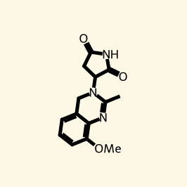 COc1cccc2c1N=C(C)N(C1CC(=O)NC1=O)C2